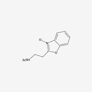 CC(=O)NCCc1oc2ccccc2[n+]1[O-]